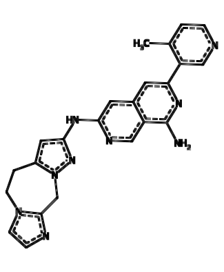 Cc1ccncc1-c1cc2cc(Nc3cc4n(n3)Cc3nccn3CC4)ncc2c(N)n1